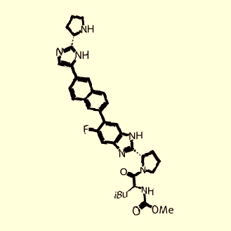 CC[C@H](C)[C@H](NC(=O)OC)C(=O)N1CCC[C@H]1c1nc2cc(F)c(-c3ccc4cc(-c5cnc([C@@H]6CCCN6)[nH]5)ccc4c3)cc2[nH]1